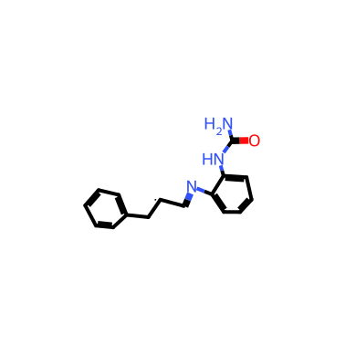 NC(=O)Nc1ccccc1/N=C/[CH]Cc1ccccc1